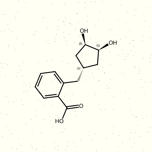 O=C(O)c1ccccc1C[C@@H]1C[C@@H](O)[C@@H](O)C1